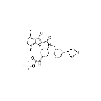 CC(C)(C)OC(=O)N[C@H]1CC[C@@H](N(Cc2cccc(-c3ccncc3)c2)C(=O)c2sc3c(F)ccc(F)c3c2Cl)CC1